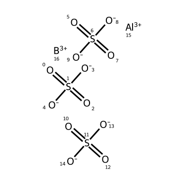 O=S(=O)([O-])[O-].O=S(=O)([O-])[O-].O=S(=O)([O-])[O-].[Al+3].[B+3]